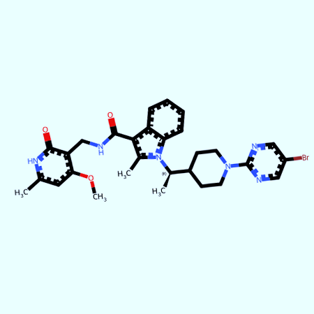 COc1cc(C)[nH]c(=O)c1CNC(=O)c1c(C)n([C@H](C)C2CCN(c3ncc(Br)cn3)CC2)c2ccccc12